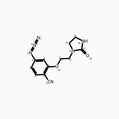 N#Cc1ccc(N=[N+]=[N-])cc1OCCN1CCNC1=O